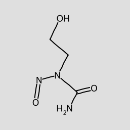 NC(=O)N(CCO)N=O